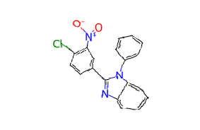 O=[N+]([O-])c1cc(-c2nc3ccccc3n2-c2ccccc2)ccc1Cl